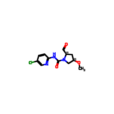 CO[C@@H]1C[C@H](C=O)N(C(=O)Nc2ccc(Cl)cn2)C1